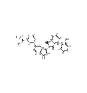 CN(C)c1cncc(-c2ccc3[nH]nc(-c4nc5c(-c6ccccc6F)cccc5[nH]4)c3c2)c1